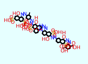 Cc1cc(N=Nc2c(S(=O)(=O)O)cc3ccc(/N=N\c4c(Nc5ccccc5)ccc5c(O)c(/N=N/c6ccc7cc(S(=O)(=O)O)c(/N=N\c8cc(C(=O)O)ccc8C(=O)O)c(O)c7c6)c(S(=O)(=O)O)cc45)cc3c2O)c(OCC(=O)O)cc1/N=N\c1cc(S(=O)(=O)O)cc2cc(S(=O)(=O)O)cc(O)c12